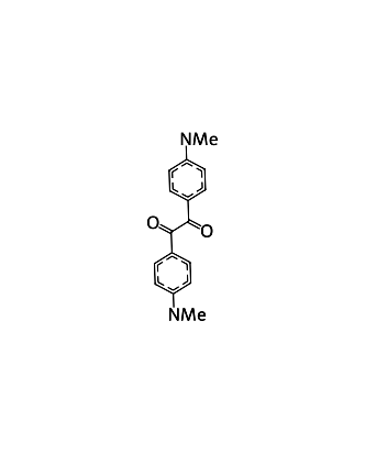 CNc1ccc(C(=O)C(=O)c2ccc(NC)cc2)cc1